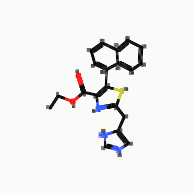 CCOC(=O)c1nc(Cc2cnc[nH]2)sc1-c1cccc2ccccc12